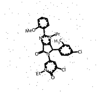 CCn1cc(N2C(=O)c3nc(-c4ccccc4OC)n(C(C)C)c3C2c2ccc(Cl)cc2C)cc(Cl)c1=O